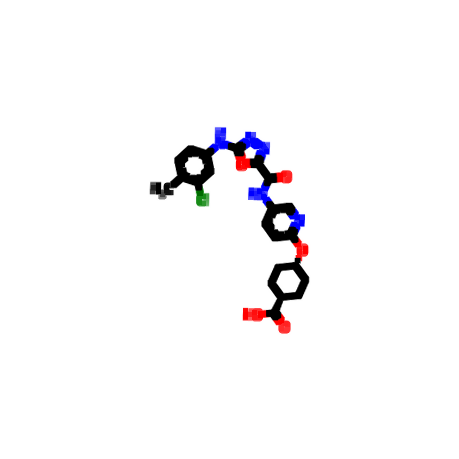 Cc1ccc(Nc2nnc(C(=O)Nc3ccc(O[C@H]4CC[C@H](C(=O)O)CC4)nc3)o2)cc1Cl